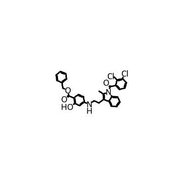 Cc1c(CCNc2ccc(C(=O)OCc3ccccc3)c(O)c2)c2ccccc2n1C(=O)c1cccc(Cl)c1Cl